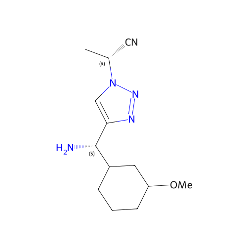 COC1CCCC([C@H](N)c2cn([C@H](C)C#N)nn2)C1